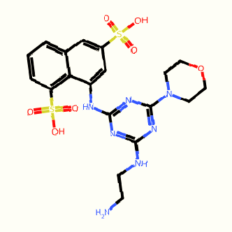 NCCNc1nc(Nc2cc(S(=O)(=O)O)cc3cccc(S(=O)(=O)O)c23)nc(N2CCOCC2)n1